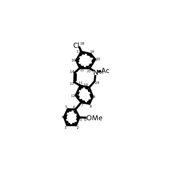 COc1ccccc1-c1ccc2c(c1)C=Cc1cc(Cl)ccc1N(C(C)=O)C2